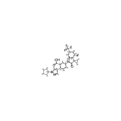 O=C(O)c1cc(NC(=O)C2(c3ccc(C(F)(F)F)cc3F)CC2)ccc1-c1cnn(C2CCCC2)c1